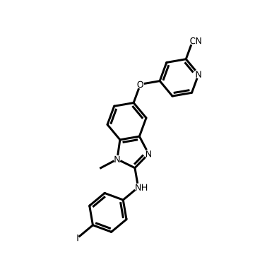 Cn1c(Nc2ccc(I)cc2)nc2cc(Oc3ccnc(C#N)c3)ccc21